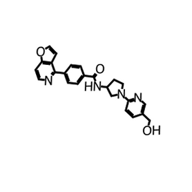 O=C(NC1CCN(c2ccc(CO)cn2)C1)c1ccc(-c2nccc3occc23)cc1